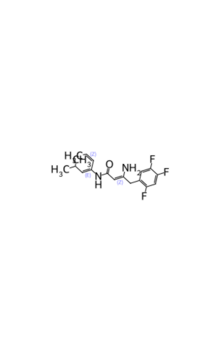 C/C=C\C(=C/C(C)C)NC(=O)/C=C(\N)Cc1cc(F)c(F)cc1F